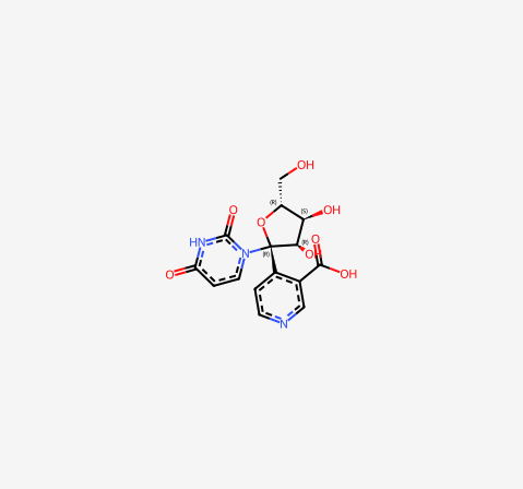 O=C(O)c1cnccc1[C@@]1(n2ccc(=O)[nH]c2=O)O[C@H](CO)[C@@H](O)[C@H]1O